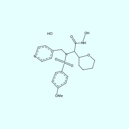 COc1ccc(S(=O)(=O)N(Cc2ccncc2)C(C(=O)NO)C2CCCCO2)cc1.Cl